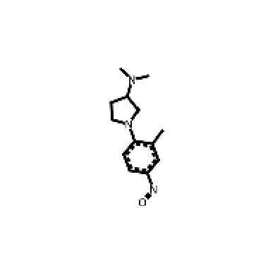 Cc1cc(N=O)ccc1N1CCC(N(C)C)C1